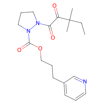 CCC(C)(C)C(=O)C(=O)N1CCCN1C(=O)OCCCc1cccnc1